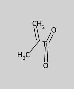 C=CC.[O]=[Ti]=[O]